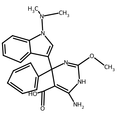 COC1=NC(c2ccccc2)(c2cn(N(C)C)c3ccccc23)C(C(=O)O)=C(N)N1